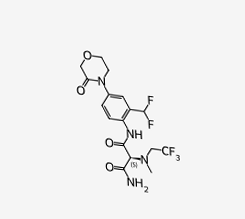 CN(CC(F)(F)F)[C@@H](C(N)=O)C(=O)Nc1ccc(N2CCOCC2=O)cc1C(F)F